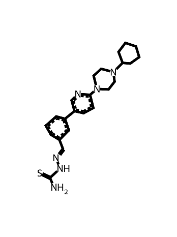 NC(=S)NN=Cc1cccc(-c2ccc(N3CCN(C4CCCCC4)CC3)nc2)c1